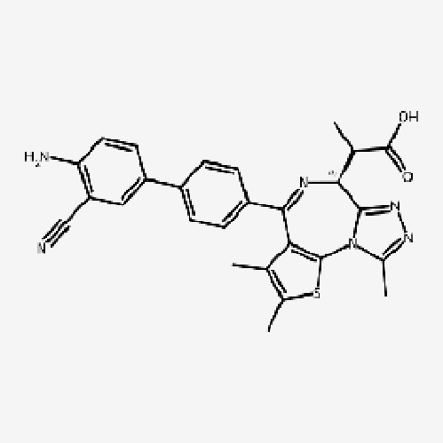 Cc1sc2c(c1C)C(c1ccc(-c3ccc(N)c(C#N)c3)cc1)=N[C@@H](C(C)C(=O)O)c1nnc(C)n1-2